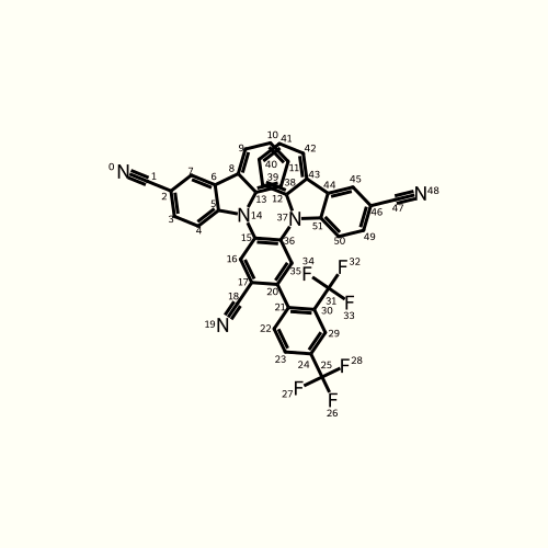 N#Cc1ccc2c(c1)c1ccccc1n2-c1cc(C#N)c(-c2ccc(C(F)(F)F)cc2C(F)(F)F)cc1-n1c2ccccc2c2cc(C#N)ccc21